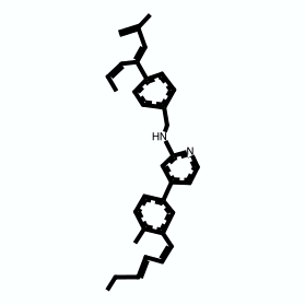 C=C(C)/C=C(\C=C/C)c1ccc(CNc2cc(-c3ccc(C)c(/C=C\C=C\CC)c3)ccn2)cc1